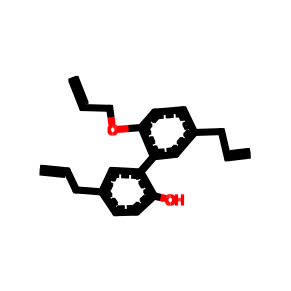 C=CCOc1ccc(CC=C)cc1-c1cc(CC=C)ccc1O